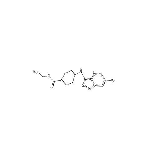 CCOC(=O)N1CCC(Nc2snc3cc(Br)cnc23)CC1